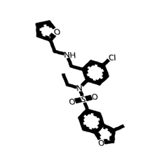 CCN(c1ccc(Cl)cc1CNCc1ccco1)S(=O)(=O)c1ccc2occ(C)c2c1